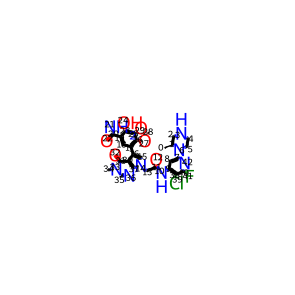 C[C@H]1CNCCN1c1cc(NC(=O)Cn2cc(-c3cc(C(N)=O)c(O)c4c3OCO4)c3c(=O)n(C)cnc32)c(Cl)c(F)n1